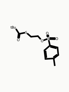 Cc1ccc(S(=O)(=O)OCCSC(=O)C(C)(C)C)cc1